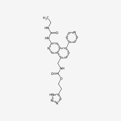 CCNC(=O)Nc1cc2c(-c3ccncc3)ccc(CNC(=O)OCCc3cnn[nH]3)c2cn1